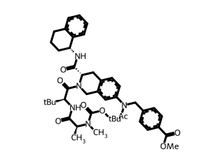 COC(=O)c1ccc(CN(C(C)=O)c2ccc3c(c2)CN(C(=O)[C@@H](NC(=O)[C@H](C)N(C)C(=O)OC(C)(C)C)C(C)(C)C)[C@H](C(=O)N[C@@H]2CCCc4ccccc42)C3)cc1